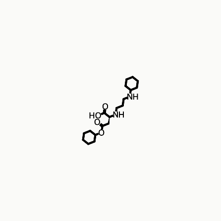 O=C(C[C@H](NCCCNC1CCCCC1)C(=O)O)OC1CCCCC1